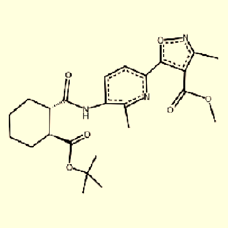 COC(=O)c1c(C)noc1-c1ccc(NC(=O)[C@H]2CCCC[C@@H]2C(=O)OC(C)(C)C)c(C)n1